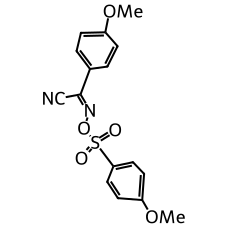 COc1ccc(/C(C#N)=N/OS(=O)(=O)c2ccc(OC)cc2)cc1